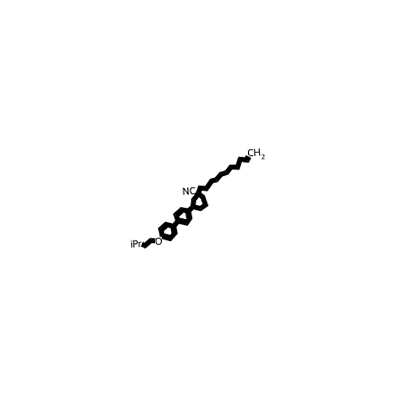 C=CCCCCCCCCCC1(C#N)CCCC(c2ccc(-c3ccc(OCCC(C)C)cc3)cc2)C1